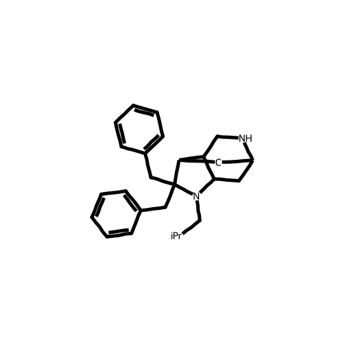 CC(C)CN1C2CC3CC(C2CN3)C1(Cc1ccccc1)Cc1ccccc1